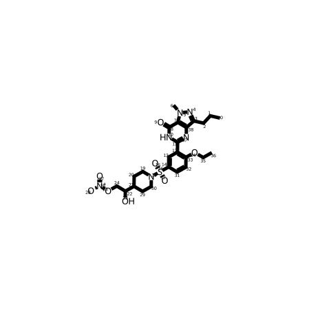 CCCc1nn(C)c2c(=O)[nH]c(-c3cc(S(=O)(=O)N4CCC(C(O)CO[N+](=O)[O-])CC4)ccc3OCC)nc12